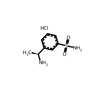 C[C@H](N)c1cccc(S(N)(=O)=O)c1.Cl